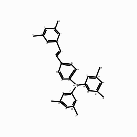 Cc1cc(C)cc(C=Cc2ccc(N(c3cc(C)cc(C)c3)c3cc(C)cc(C)c3)cc2)c1